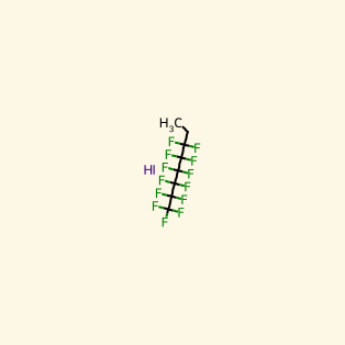 CCC(F)(F)C(F)(F)C(F)(F)C(F)(F)C(F)(F)C(F)(F)F.I